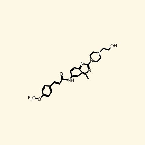 Cc1nc(N2CCN(CCO)CC2)nc2ccc(NC(=O)C=Cc3ccc(OC(F)(F)F)cc3)cc12